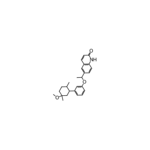 COC1(C)CCC(C)C(c2cccc(OC(C)c3ccc4[nH]c(=O)ccc4c3)c2)C1